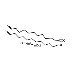 CCCCCCC[CH2][Sn+2][CH2]CCCCCCC.O=C([O-])CCCCCCCCCCC=S.O=C([O-])CCCCCCCCCCC=S